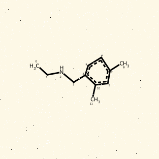 CCNCc1ccc(C)cc1C